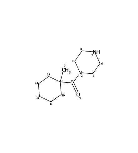 CC1(C(=O)N2CCNCC2)CCCCC1